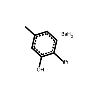 Cc1ccc(C(C)C)c(O)c1.[BaH2]